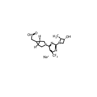 C[C@H]1[C@H](O)CN1c1nc(N2C[C@@H]3C(CS(=O)[O-])[C@@H]3C2)cc(C(F)(F)F)n1.[Na+]